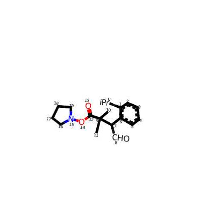 CC(C)c1ccccc1C(C=O)C(C)(C)C(=O)ON1CCCC1